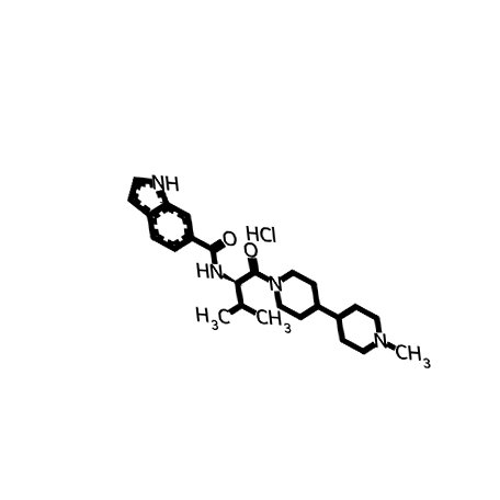 CC(C)[C@@H](NC(=O)c1ccc2cc[nH]c2c1)C(=O)N1CCC(C2CCN(C)CC2)CC1.Cl